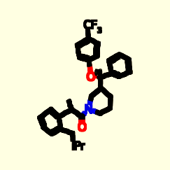 CC(C)Cc1ccccc1C(C)C(=O)N1CCCC([C@H](Oc2ccc(C(F)(F)F)cc2)c2ccccc2)C1